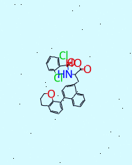 O=C(NC(Cc1ccc(-c2cccc3c2OCCC3)c2ccccc12)C(=O)O)c1c(Cl)cccc1Cl